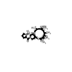 COC1(C)CC(C)CN(C)C2(CCN(C(=O)[C@H]3CCCN3C)CC2)COC(=O)C(C)(C)C(=O)C(C)C1